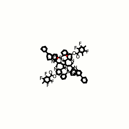 Cc1c(F)c(C)c(C(=O)Oc2ccc(-c3c4/c(=C(\C#N)c5cnc6cc(-c7ccccc7)ccc6n5)n(B(c5ccccc5)c5ccccc5)c(-c5ccc(OC(=O)c6c(F)c(F)c(C)c(F)c6F)cc5)c4/c(=C(\C#N)c4cnc5cc(-c6ccccc6)ccc5n4)n3B(c3ccccc3)c3ccccc3)cc2)c(F)c1F